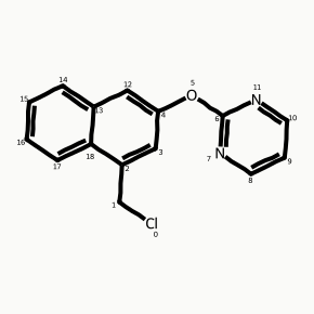 ClCc1cc(Oc2ncccn2)cc2ccccc12